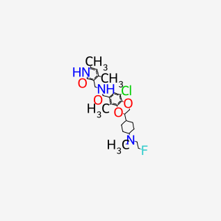 Cc1cc(C)c(CNC(=O)c2cc(Cl)c3c(c2C)OC(C2CCC(N(C)CCF)CC2)CO3)c(=O)[nH]1